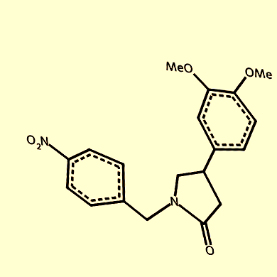 COc1ccc(C2CC(=O)N(Cc3ccc([N+](=O)[O-])cc3)C2)cc1OC